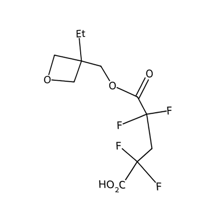 CCC1(COC(=O)C(F)(F)CC(F)(F)C(=O)O)COC1